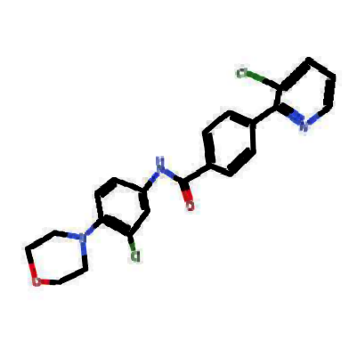 O=C(Nc1ccc(N2CCOCC2)c(Cl)c1)c1ccc(-c2ncccc2Cl)cc1